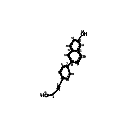 OCC#Cc1ccc(-c2ccc3cc(O)ccc3c2)cc1